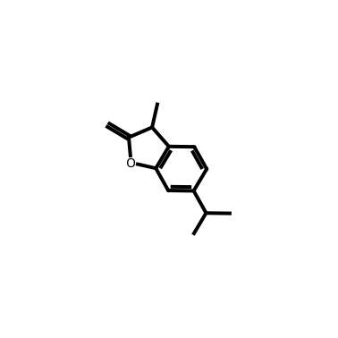 C=C1Oc2cc(C(C)C)ccc2C1C